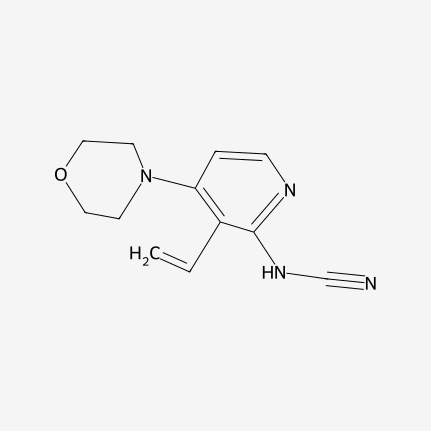 C=Cc1c(N2CCOCC2)ccnc1NC#N